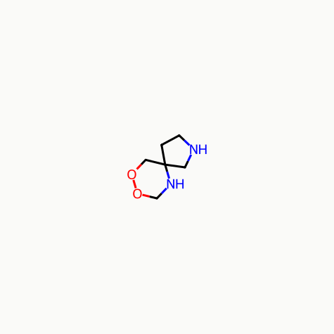 C1CC2(CN1)COOCN2